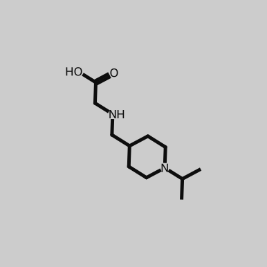 CC(C)N1CCC(CNCC(=O)O)CC1